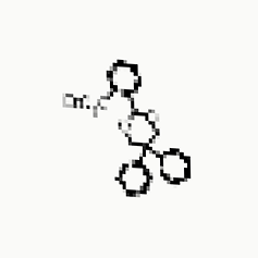 CCOC(=O)c1ccccc1C1OCC(c2ccccc2)(c2ccccc2)CO1